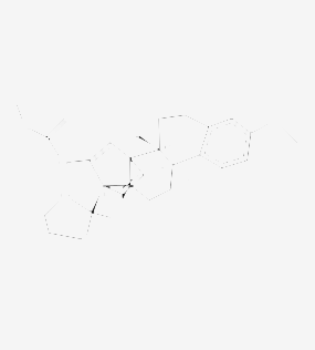 COC(=O)OC1=CC23C=C[C@@]1(C1(C)OCCO1)[C@@]2(C)CC[C@@H]1c2ccc(OC)cc2CC[C@H]13